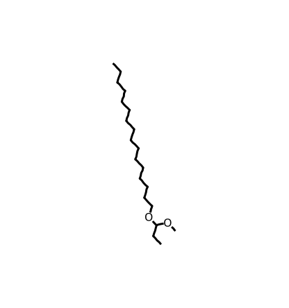 CCCCCCCCCCCCCCCCOC(CC)OC